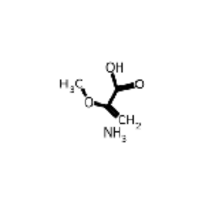 C=C(OC)C(=O)O.N